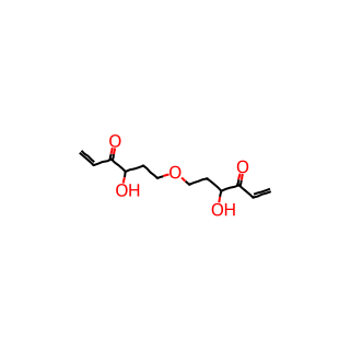 C=CC(=O)C(O)CCOCCC(O)C(=O)C=C